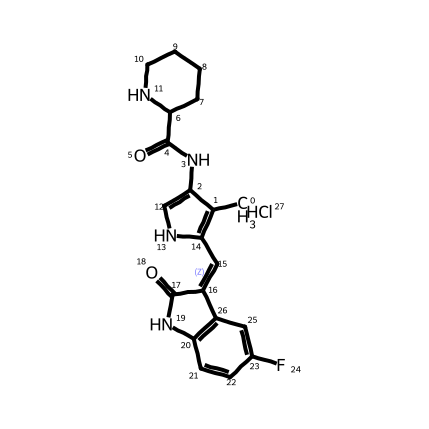 Cc1c(NC(=O)C2CCCCN2)c[nH]c1/C=C1\C(=O)Nc2ccc(F)cc21.Cl